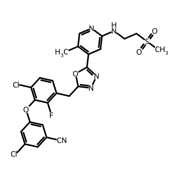 Cc1cnc(NCCS(C)(=O)=O)cc1-c1nnc(Cc2ccc(Cl)c(Oc3cc(Cl)cc(C#N)c3)c2F)o1